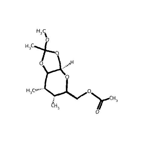 COC1(C)OC2[C@H](OC(COC(C)=O)[C@H](C)[C@@H]2C)O1